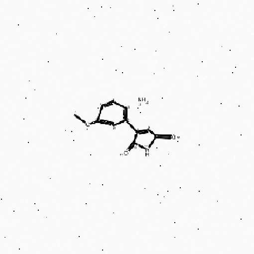 COc1cccc(C2=CC(=O)NC2=O)c1.N